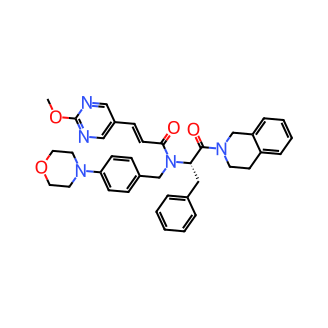 COc1ncc(C=CC(=O)N(Cc2ccc(N3CCOCC3)cc2)[C@@H](Cc2ccccc2)C(=O)N2CCc3ccccc3C2)cn1